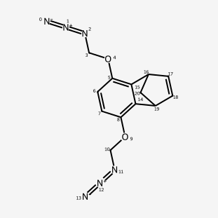 [N-]=[N+]=NCOc1ccc(OCN=[N+]=[N-])c2c1C1C=CC2C1